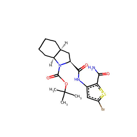 CC(C)(C)OC(=O)N1[C@H](C(=O)Nc2cc(Br)sc2C(N)=O)C[C@@H]2CCCC[C@@H]21